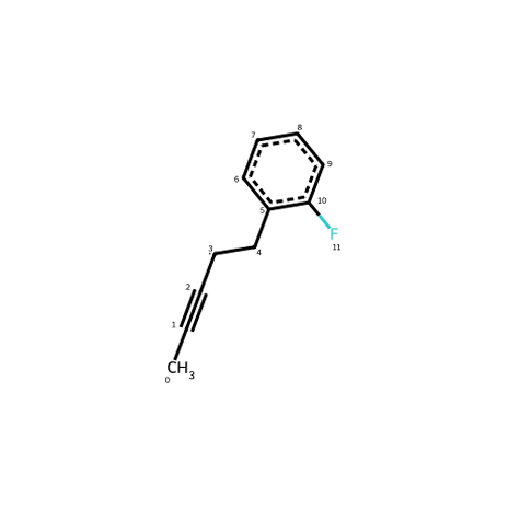 CC#C[CH]Cc1ccccc1F